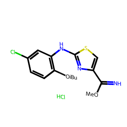 COC(=N)c1csc(Nc2cc(Cl)ccc2OCC(C)C)n1.Cl